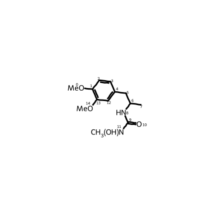 COc1ccc(CC(C)NC(=O)N(C)O)cc1OC